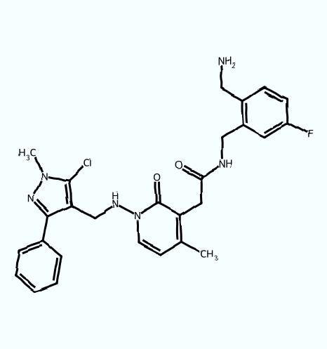 Cc1ccn(NCc2c(-c3ccccc3)nn(C)c2Cl)c(=O)c1CC(=O)NCc1cc(F)ccc1CN